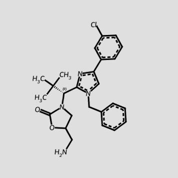 CC(C)(C)[C@H](c1nc(-c2cccc(Cl)c2)cn1Cc1ccccc1)N1CC(CN)OC1=O